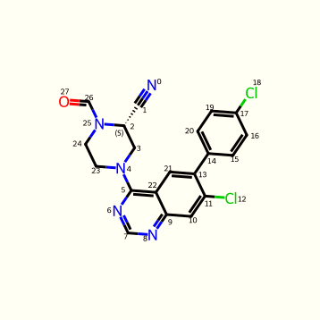 N#C[C@@H]1CN(c2ncnc3cc(Cl)c(-c4ccc(Cl)cc4)cc23)CCN1C=O